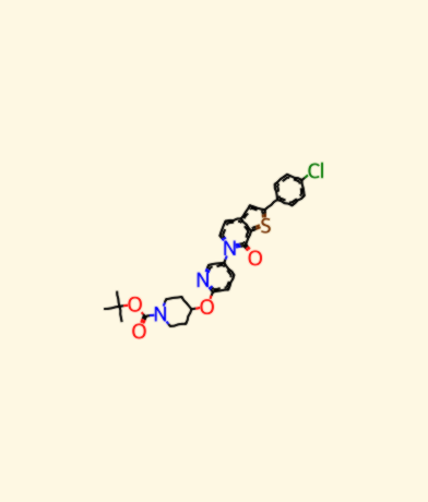 CC(C)(C)OC(=O)N1CCC(Oc2ccc(-n3ccc4cc(-c5ccc(Cl)cc5)sc4c3=O)cn2)CC1